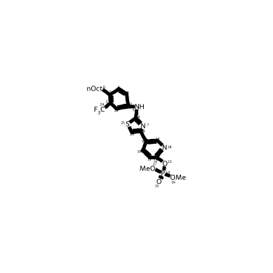 CCCCCCCCc1ccc(Nc2nc(-c3ccc(OP(=O)(OC)OC)nc3)cs2)cc1C(F)(F)F